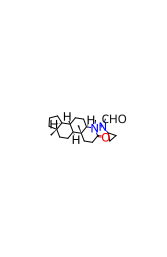 C[C@@]12CCC[C@H]1[C@@H]1CC[C@@H]3[C@](C)(CCC(=O)[N+]3(C)N(C=O)C3CC3)[C@H]1CC2